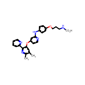 Cc1cc(Oc2ccnc(Nc3ccc(OCCCNC(=O)O)cc3)c2)c(-c2ccccn2)nc1C